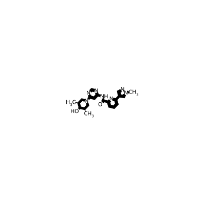 C[C@@H]1CN(c2cc(NC(=O)c3cccc(-c4cnn(C)c4)n3)ncn2)C[C@H](C)C1O